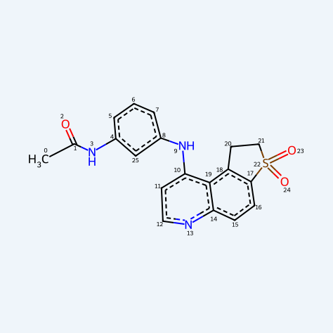 CC(=O)Nc1cccc(Nc2ccnc3ccc4c(c23)CCS4(=O)=O)c1